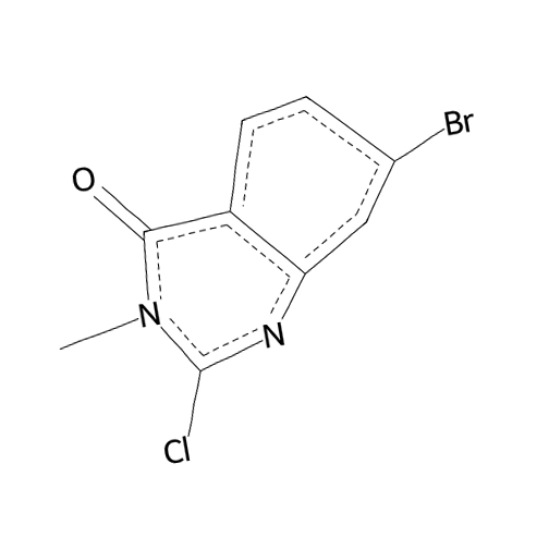 Cn1c(Cl)nc2cc(Br)ccc2c1=O